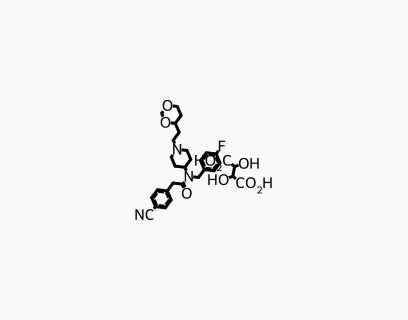 N#Cc1ccc(CC(=O)N(Cc2ccc(F)cc2)C2CCN(CCC3CCOCO3)CC2)cc1.O=C(O)C(O)C(O)C(=O)O